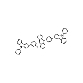 Ic1cc(-c2ccc3c(c2)c2ccccc2n3-c2ccccc2)ccc1-c1c2ccccc2c(-c2ccc(-c3ccc4c(c3)c3ccccc3n4-c3ccccc3)cc2)c2ccccc12